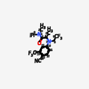 CC(C)N(C)C(=O)[C@H](C)N(CC(F)(F)F)c1ccc(C#N)c(C(F)(F)F)c1